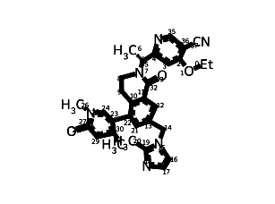 CCOc1cc([C@H](C)N2CCc3c(cc(Cn4ccnc4C)cc3-c3cn(C)c(=O)cc3C)C2=O)ncc1C#N